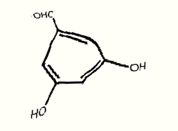 O=[C]c1cc(O)cc(O)c1